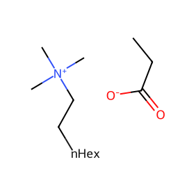 CCC(=O)[O-].CCCCCCCC[N+](C)(C)C